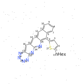 CCCCCCc1ccc(-c2c3ccccc3cc3cc4cc5nnnnc5nc4nc23)s1